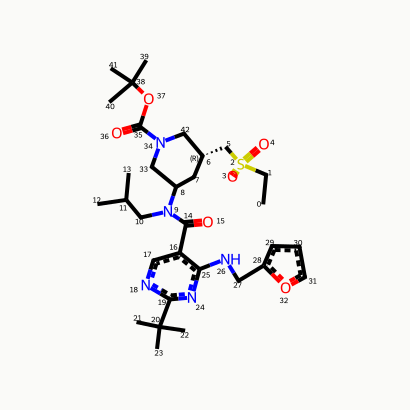 CCS(=O)(=O)C[C@@H]1CC(N(CC(C)C)C(=O)c2cnc(C(C)(C)C)nc2NCc2ccco2)CN(C(=O)OC(C)(C)C)C1